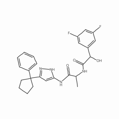 CC(NC(=O)C(O)c1cc(F)cc(F)c1)C(=O)Nc1cc(C2(c3ccccc3)CCCC2)n[nH]1